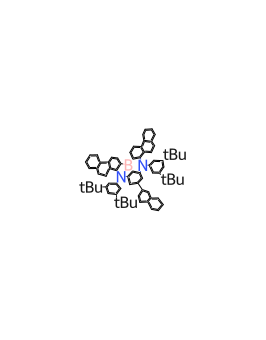 CC(C)(C)c1cc(N2c3cc(-c4ccc5ccccc5c4)cc4c3B(c3ccc5c(ccc6ccccc65)c32)c2ccc3c(ccc5ccccc53)c2N4c2cc(C(C)(C)C)cc(C(C)(C)C)c2)cc(C(C)(C)C)c1